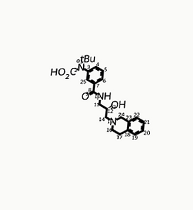 CC(C)(C)N(C(=O)O)c1cccc(C(=O)NC[C@H](O)CN2CCc3ccccc3C2)c1